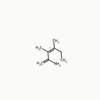 C=C(N)/C(C)=C(/C)CC